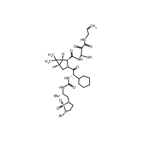 C=CCNC(=O)C(=O)C(CCC)NC(=O)[C@@H]1[C@@H]2[C@H](CN1C(=O)[C@@H](NC(=O)N[C@H](CN1CCN(C(C)C)S1(=O)=O)C(C)(C)C)C1CCCCC1)C2(C)C